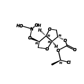 C[C@H](Cl)OC(=O)O[C@H]1CO[C@H]2[C@@H]1OC[C@H]2ON(O)O